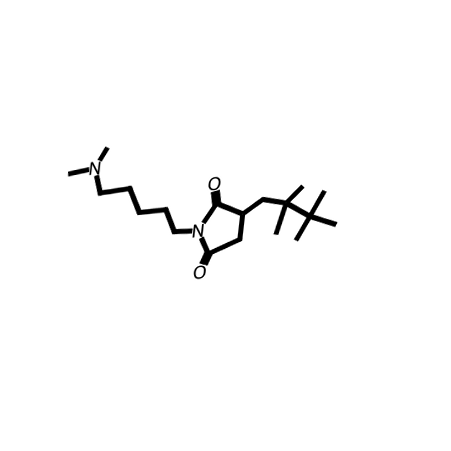 CN(C)CCCCCN1C(=O)CC(CC(C)(C)C(C)(C)C)C1=O